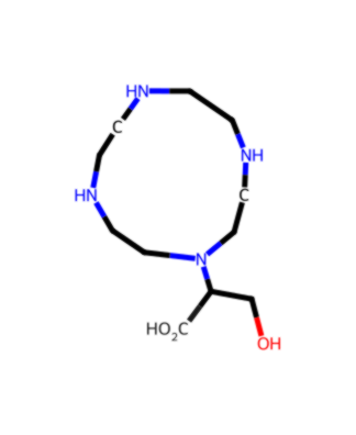 O=C(O)C(CO)N1CCNCCNCCNCC1